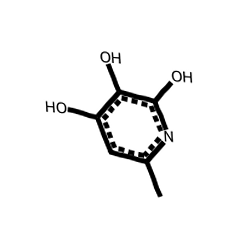 Cc1cc(O)c(O)c(O)n1